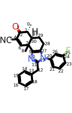 C[C@H]1C(=O)C(C#N)=CC2(C)c3nc(Cc4ccccc4)n(-c4cccc(F)c4)c3CC[C@H]12